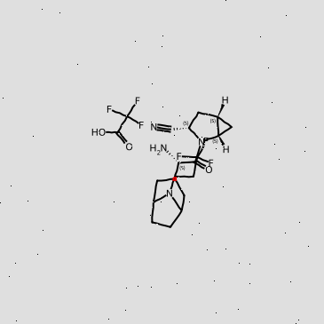 N#C[C@@H]1C[C@@H]2C[C@@H]2N1C(=O)[C@@H](N)C1CC2CCC(C1)N2CCC(F)(F)F.O=C(O)C(F)(F)F